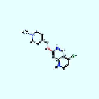 CN1CCC(COc2cc3nccc(Cl)c3cn2)CC1